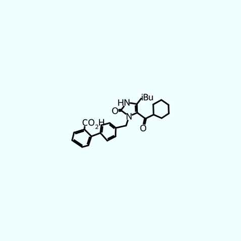 CCC(C)c1[nH]c(=O)n(Cc2ccc(-c3ccccc3C(=O)O)cc2)c1C(=O)C1CCCCC1